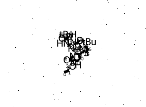 C=CCON1C(=O)N2C[C@H]1C=C(c1nccs1)[C@H]2CN=C(NC(=O)OC(C)(C)C)NC(=O)OC(C)(C)C